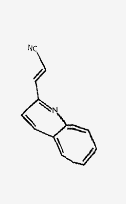 N#CC=Cc1ccc2ccccc2n1